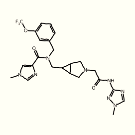 Cn1cnc(C(=O)N(Cc2cccc(OC(F)(F)F)c2)CC2C3CN(CC(=O)Nc4ncn(C)n4)CC32)c1